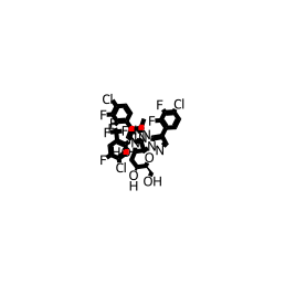 Cc1nc(C2(n3cc(-c4ccc(Cl)c(F)c4F)cn3)O[C@@H](CO)[C@@H](O)C[C@@]2(O)n2cc(-c3ccc(Cl)c(F)c3F)cn2)n(-c2cc(Cl)c(F)cc2C(F)(F)F)n1